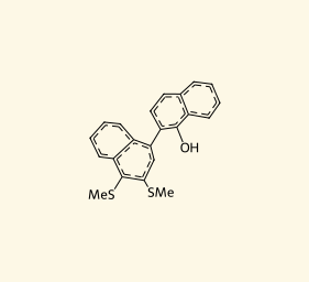 CSc1cc(-c2ccc3ccccc3c2O)c2ccccc2c1SC